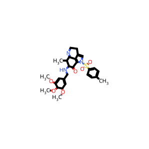 COC1=CC(CNC2C(=O)c3c4c(cn3S(=O)(=O)c3ccc(C)cc3)CCN=C4C2C)=CC(OC)C1OC